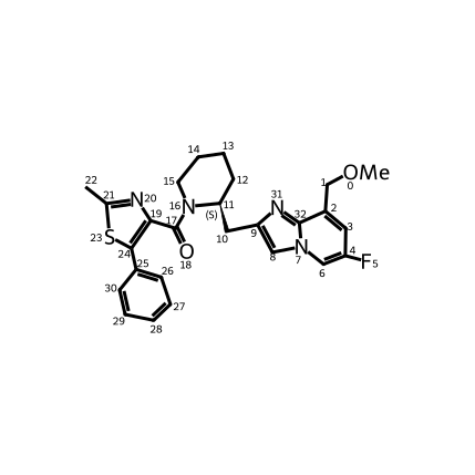 COCc1cc(F)cn2cc(C[C@@H]3CCCCN3C(=O)c3nc(C)sc3-c3ccccc3)nc12